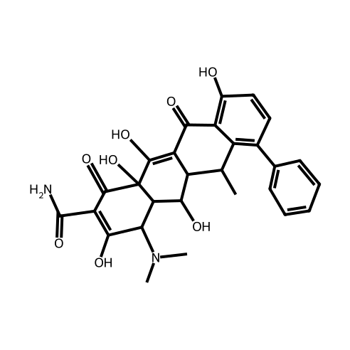 CC1c2c(-c3ccccc3)ccc(O)c2C(=O)C2=C(O)C3(O)C(=O)C(C(N)=O)=C(O)C(N(C)C)C3C(O)C21